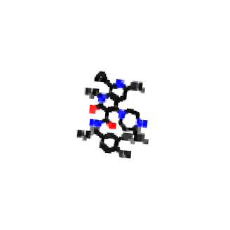 Cc1cc2c(N3CCN[C@@H](C)CC3)c(C(=O)N[C@@H](C)c3ccc(C#N)c(C(F)(F)F)c3)c(=O)n(C)c2c(C2CC2)n1